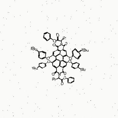 CC(C)C(C(=O)Oc1ccccc1)N1C(=O)c2cc(Oc3ccc(C(C)(C)C)cc3)c3c4c(Oc5ccc(C(C)(C)C)cc5)cc5c6c(cc(Oc7ccc(C(C)(C)C)cc7)c(c7c(Oc8ccc(C(C)(C)C)cc8)cc(c2c37)C1=O)c64)C(=O)N(C(C(=O)Oc1ccccc1)C(C)C)C5=O